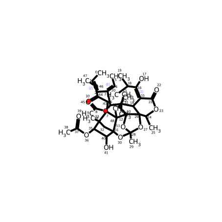 C/C=C\C(=C/C)C(OC(C)=O)C(C)(C)C1/C(=C(/O)C(C)C)C(=O)OC(C)C12OC1(C)OC34CC(C)(C(OC(C)=O)C3O)C(CC(=O)OC)C4(C)C2(CC)O1